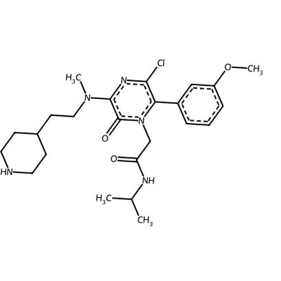 COc1cccc(-c2c(Cl)nc(N(C)CCC3CCNCC3)c(=O)n2CC(=O)NC(C)C)c1